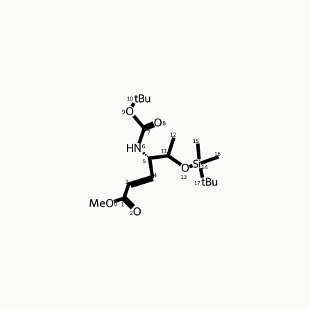 COC(=O)/C=C/[C@H](NC(=O)OC(C)(C)C)C(C)O[Si](C)(C)C(C)(C)C